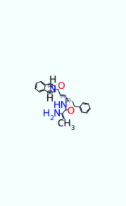 CC=C(N)C(=O)N[C@H](/C=C/C(=O)N1[C@@H]2CC[C@H]1c1ccccc12)CCc1ccccc1